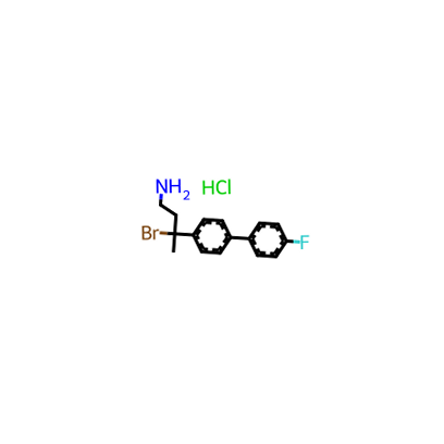 CC(Br)(CCN)c1ccc(-c2ccc(F)cc2)cc1.Cl